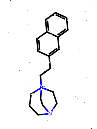 c1ccc2cc(CC[N+]34CCCN(CC3)CC4)ccc2c1